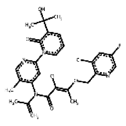 C=C(C)N(C(=O)/C(Cl)=C(\C)OCc1ncc(F)cc1Cl)c1cc(-n2cccc(C(C)(C)O)c2=O)ncc1C